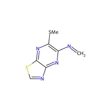 C=Nc1nc2ncsc2nc1SC